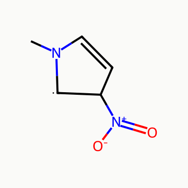 CN1[CH]C([N+](=O)[O-])C=C1